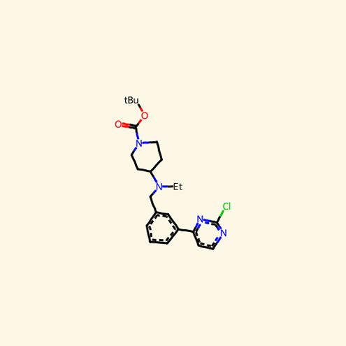 CCN(Cc1cccc(-c2ccnc(Cl)n2)c1)C1CCN(C(=O)OC(C)(C)C)CC1